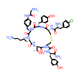 C[C@@H](O)[C@@H]1NC(=O)[C@H](CCCCCN)NC(=O)[C@@H](Cc2ccc(NC(=O)CN)cc2)NC(=O)[C@H](Cc2ccc(O)cc2)NC(=O)[C@H](NC(=O)[C@@H](N)Cc2ccc(Cl)cc2)CSSC[C@@H](C(=O)N[C@H](Cc2ccc(O)cc2)C(N)=O)NC1=O